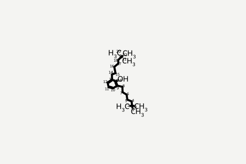 CC(C)(C)CCCCCc1cccc(CCCCCC(C)(C)C)c1O